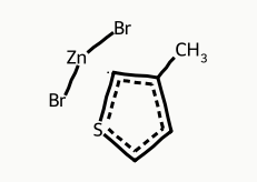 Cc1[c]scc1.[Br][Zn][Br]